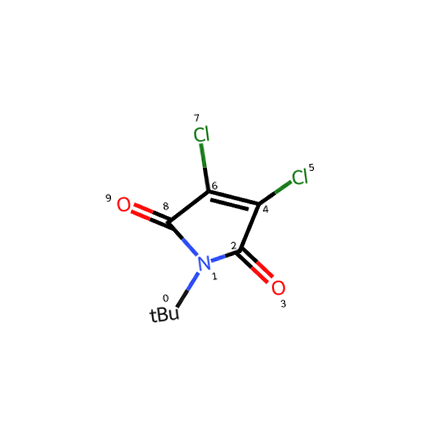 CC(C)(C)N1C(=O)C(Cl)=C(Cl)C1=O